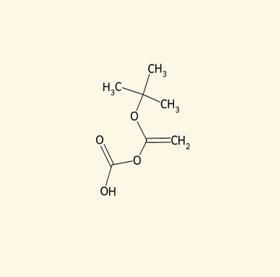 C=C(OC(=O)O)OC(C)(C)C